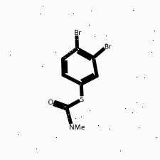 CNC(=O)Sc1ccc(Br)c(Br)c1